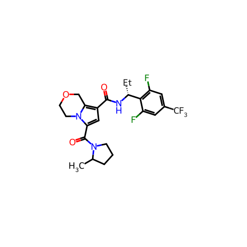 CC[C@@H](NC(=O)c1cc(C(=O)N2CCCC2C)n2c1COCC2)c1c(F)cc(C(F)(F)F)cc1F